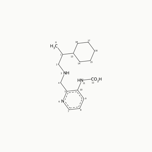 CC(CNCc1ncccc1NC(=O)O)C1CCCCC1